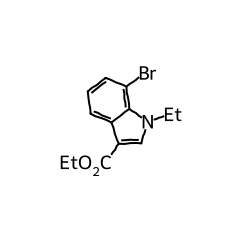 CCOC(=O)c1cn(CC)c2c(Br)cccc12